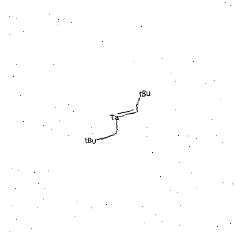 CC(C)(C)/[CH]=[Ta]/[CH2]C(C)(C)C